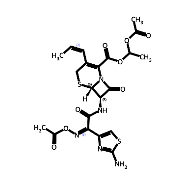 C/C=C\C1=C(C(=O)OC(C)OC(C)=O)N2C(=O)[C@@H](NC(=O)/C(=N\OC(C)=O)c3csc(N)n3)[C@@H]2SC1